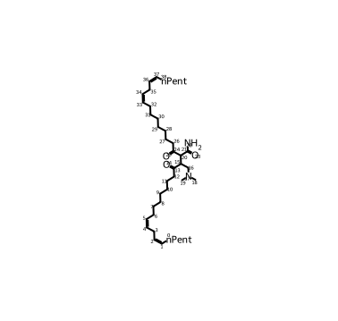 CCCCC/C=C\C/C=C\CCCCCCCC(=O)C(CN(C)C)C(C(N)=O)C(=O)CCCCCCC/C=C\C/C=C\CCCCC